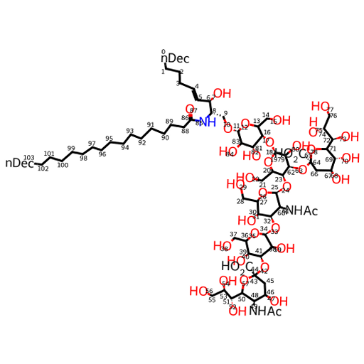 CCCCCCCCCCCCC/C=C/[C@@H](O)[C@H](CO[C@@H]1OC(CO)[C@@H](O[C@@H]2OC(CO)[C@H](O[C@@H]3OC(CO)[C@H](O)[C@H](O[C@@H]4OC(CO)[C@H](O)[C@H](O[C@]5(C(=O)O)CC(O)[C@@H](NC(C)=O)C([C@H](O)[C@H](O)CO)O5)C4O)C3NC(C)=O)[C@H](O[C@]3(C(=O)O)CC(O)[C@@H](O)C([C@H](O)[C@H](O)CO)O3)C2O)[C@H](O)C1O)NC(=O)CCCCCCCCCCCCCCCCCCCCCCCCC